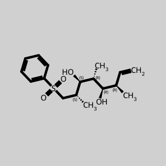 C=C[C@@H](C)[C@@H](O)[C@@H](C)[C@H](O)[C@H](C)CS(=O)(=O)c1ccccc1